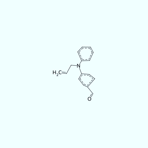 C=CCN(c1ccccc1)c1ccc(C=O)cc1